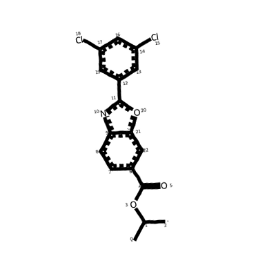 [CH2]C([CH2])OC(=O)c1ccc2nc(-c3cc(Cl)cc(Cl)c3)oc2c1